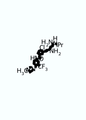 CC(C)N/C(N)=C/C=C(\N)C#Cc1cc(C(=O)Nc2ccc(CN3CCN(C)CC3)c(C(F)(F)F)c2)ccc1Cl